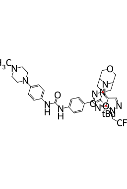 CN1CCN(c2ccc(NC(=O)Nc3ccc(-c4nc(N5C6COCC5CN(C(=O)OC(C)(C)C)C6)c5cnn(CC(F)(F)F)c5n4)cc3)cc2)CC1